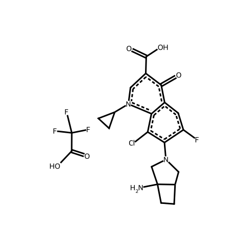 NC12CCC1CN(c1c(F)cc3c(=O)c(C(=O)O)cn(C4CC4)c3c1Cl)C2.O=C(O)C(F)(F)F